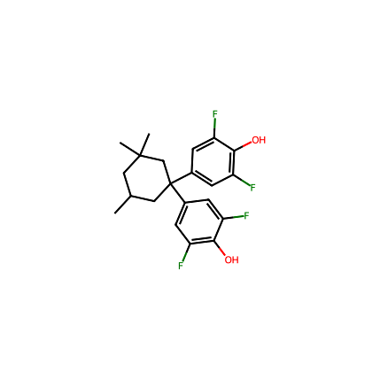 CC1CC(C)(C)CC(c2cc(F)c(O)c(F)c2)(c2cc(F)c(O)c(F)c2)C1